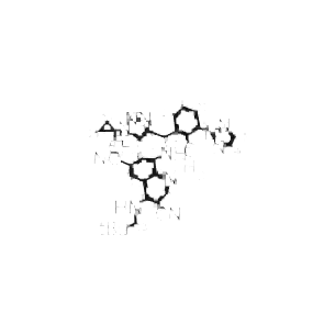 Cc1c([C@H](Nc2cc(C#N)cc3c(NCC(C)(C)C)c(C#N)cnc23)c2cn(C3(C(F)(F)F)CC3)nn2)cccc1-n1nccn1